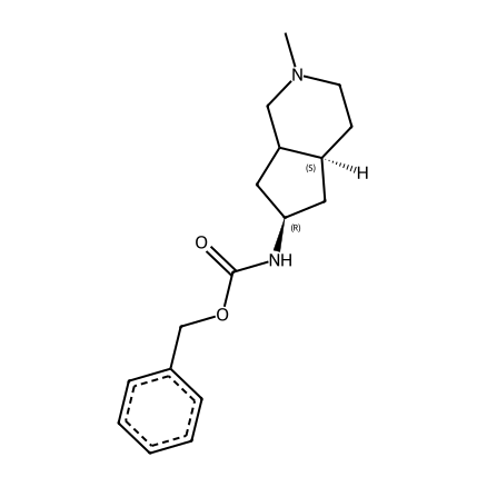 CN1CC[C@H]2C[C@@H](NC(=O)OCc3ccccc3)CC2C1